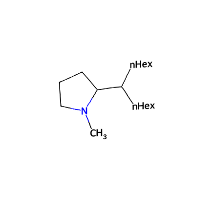 CCCCCCC(CCCCCC)C1CCCN1C